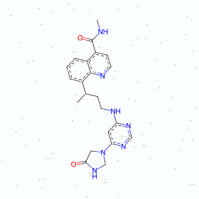 CNC(=O)c1ccnc2c(C(C)CCNc3cc(N4CNC(=O)C4)ncn3)cccc12